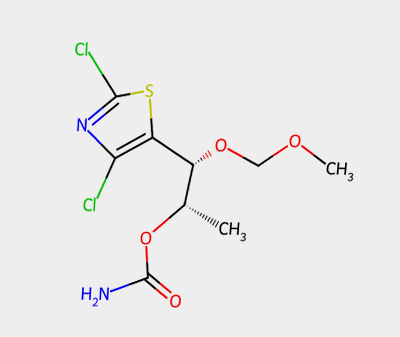 COCO[C@@H](c1sc(Cl)nc1Cl)[C@H](C)OC(N)=O